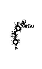 CC(C)(C)OC(=O)Nc1ccc(-c2cc(-c3ccc(F)cc3)on2)cc1